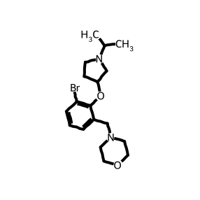 CC(C)N1CCC(Oc2c(Br)cccc2CN2CCOCC2)C1